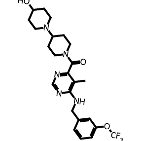 Cc1c(NCc2cccc(OC(F)(F)F)c2)ncnc1C(=O)N1CCC(N2CCC(O)CC2)CC1